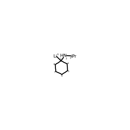 [Li][C]1(NC(C)C)CCCCC1